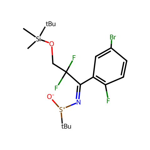 CC(C)(C)[S+]([O-])N=C(c1cc(Br)ccc1F)C(F)(F)CO[Si](C)(C)C(C)(C)C